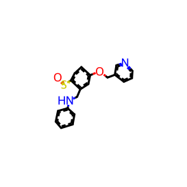 O=[S+]c1ccc(OCc2cccnc2)cc1CNc1ccccc1